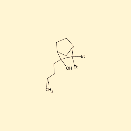 C=CCCC1(O)C2CCC(C2)C1(CC)CC